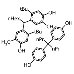 CCCC(CCC)(c1ccc(O)cc1)c1ccc(O)cc1.CCCCCCC(c1cc(C)c(O)cc1C(C)(C)C)c1cc(C)c(O)cc1C(C)(C)C